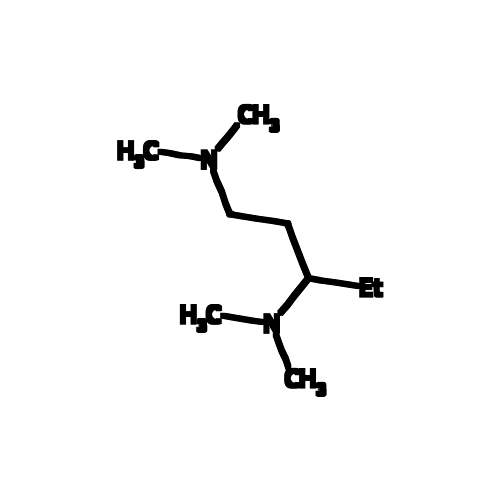 CCC(CCN(C)C)N(C)C